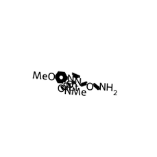 CCC1N(CCOCCN)C=CN1c1ccc(OC)cc1S(=O)(=O)NC